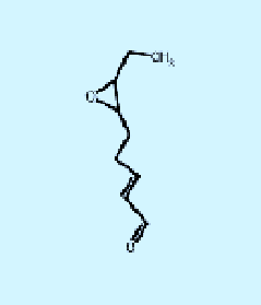 CCC1OC1CCC=CC=O